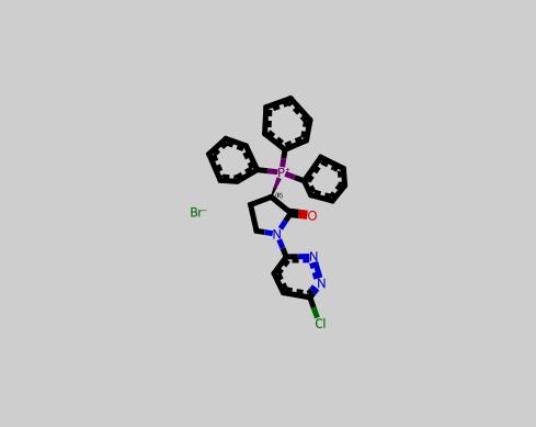 O=C1[C@H]([P+](c2ccccc2)(c2ccccc2)c2ccccc2)CCN1c1ccc(Cl)nn1.[Br-]